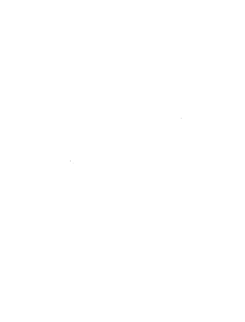 N[C@H]1CCCC1OCc1ccc(Br)cc1C(F)(F)F